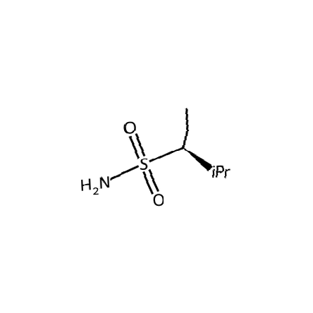 CC(C)[C@H](C)S(N)(=O)=O